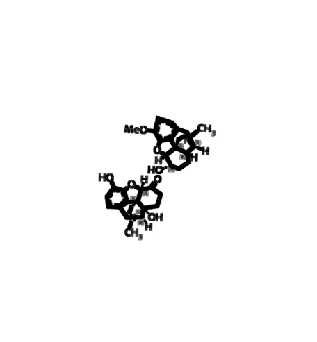 CN1CC[C@]23c4c5ccc(O)c4O[C@H]2C(=O)CC[C@@]3(O)[C@H]1C5.COc1ccc2c3c1O[C@H]1[C@@H](O)CC[C@H]4[C@@H](C2)N(C)CC[C@@]341